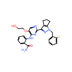 NC(=O)c1ccccc1Nc1nc(-c2nn(Cc3ccccc3F)c3c2CCC3)ncc1OCCO